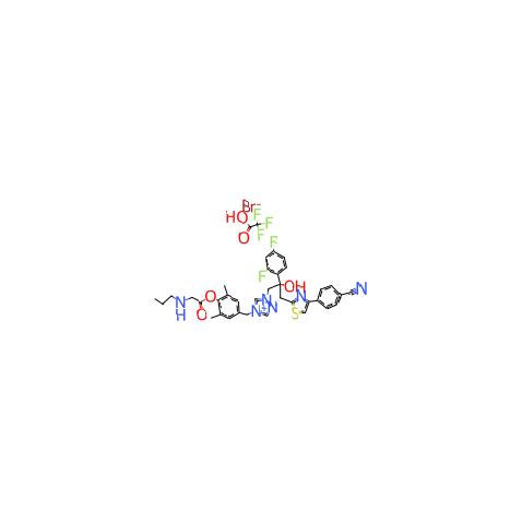 CCCNCC(=O)Oc1c(C)cc(C[n+]2cnn(C[C@](O)(c3ccc(F)cc3F)[C@@H](C)c3nc(-c4ccc(C#N)cc4)cs3)c2)cc1C.O=C(O)C(F)(F)F.[Br-]